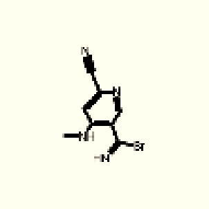 CNc1cc(C#N)ncc1C(=N)Br